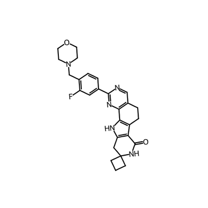 O=C1NC2(CCC2)Cc2[nH]c3c(c21)CCc1cnc(-c2ccc(CN4CCOCC4)c(F)c2)nc1-3